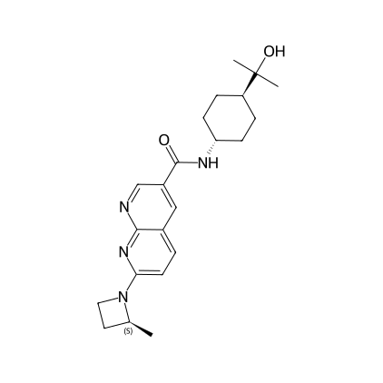 C[C@H]1CCN1c1ccc2cc(C(=O)N[C@H]3CC[C@H](C(C)(C)O)CC3)cnc2n1